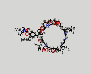 COC1C(=O)C(C)CC(C)/C=C/C=C/C=C(\C)[C@@H](OC)CC2CCC(C)C(O)(O2)C(=O)C(=O)N2CCCCC2C(=O)O[C@H]([C@H](C)CC2CC[C@@H](OC(=O)N(C)OC)C(OC)C2)CC(=O)C(C)/C=C(\C)[C@H]1O